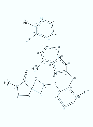 CN1CCC2(CN(Cc3cccc(F)c3Cc3nc4c(N)nc(-c5cccc(C#N)c5F)cn4n3)C2)C1=O